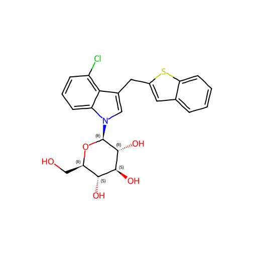 OC[C@H]1O[C@@H](n2cc(Cc3cc4ccccc4s3)c3c(Cl)cccc32)[C@H](O)[C@@H](O)[C@@H]1O